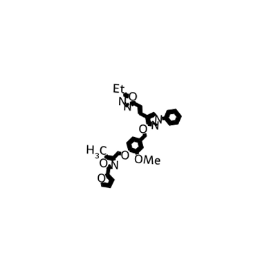 CCc1nnc(C=Cc2cn(-c3ccccc3)nc2OCc2ccc(OCc3nc(-c4ccco4)oc3C)c(OC)c2)o1